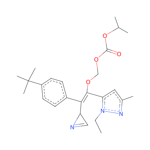 CCn1nc(C)cc1/C(OCOC(=O)OC(C)C)=C(/c1ccc(C(C)(C)C)cc1)C1C=N1